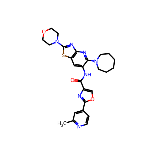 Cc1cc(-c2nc(C(=O)Nc3cc4sc(N5CCOCC5)nc4nc3N3CCCCCC3)co2)ccn1